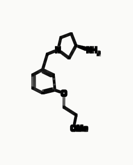 COCCOc1cccc(CN2CC[C@@H](N)C2)c1